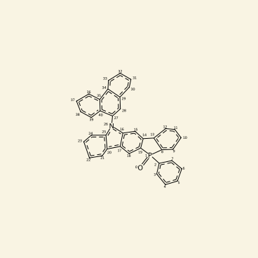 O=P1(c2ccccc2)c2ccccc2-c2cc3c(cc21)c1ccccc1n3-c1cc2ccccc2c2ccccc12